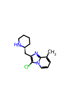 Cc1cccn2c(Cl)c(C[C@@H]3CCCCN3)nc12